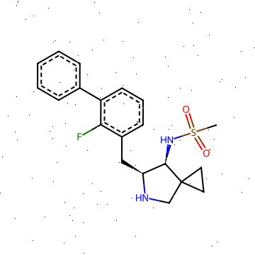 CS(=O)(=O)N[C@@H]1[C@H](Cc2cccc(-c3ccccc3)c2F)NCC12CC2